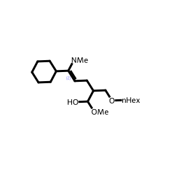 CCCCCCOCC(C/C=C(\NC)C1CCCCC1)C(O)OC